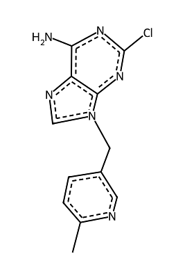 Cc1ccc(Cn2cnc3c(N)nc(Cl)nc32)cn1